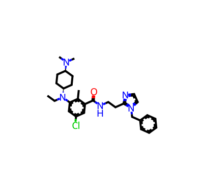 CCN(c1cc(Cl)cc(C(=O)NCCc2nccn2Cc2ccccc2)c1C)[C@H]1CC[C@H](N(C)C)CC1